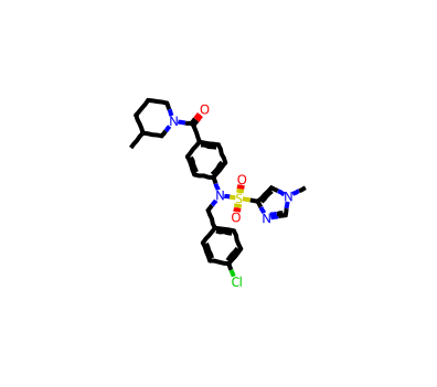 CC1CCCN(C(=O)c2ccc(N(Cc3ccc(Cl)cc3)S(=O)(=O)c3cn(C)cn3)cc2)C1